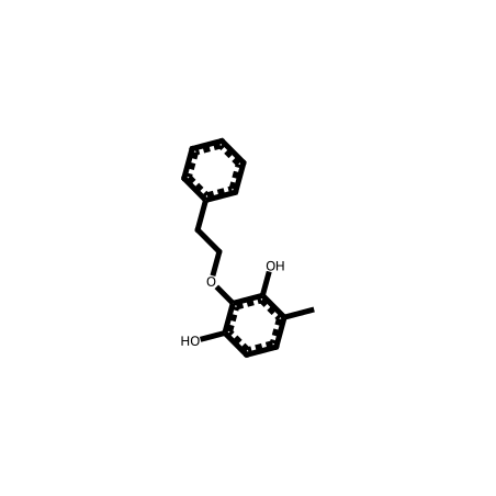 Cc1ccc(O)c(OCCc2ccccc2)c1O